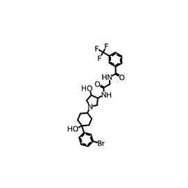 O=C(CNC(=O)c1cccc(C(F)(F)F)c1)NC1CN(C2CCC(O)(c3cccc(Br)c3)CC2)CC1O